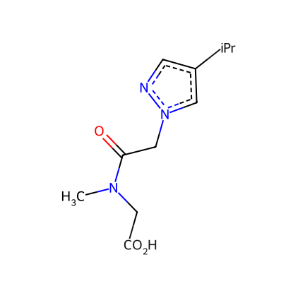 CC(C)c1cnn(CC(=O)N(C)CC(=O)O)c1